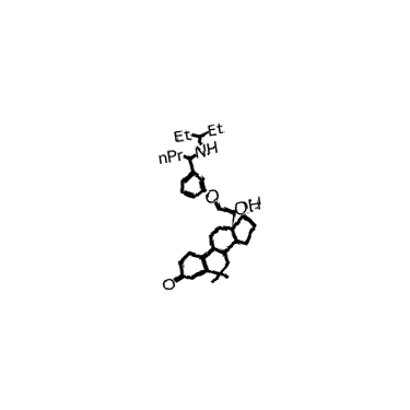 CCCC(NC(CC)CC)c1cccc(OCC[C@]23CCC4C5CCC(=O)C=C5C(C)(C)CC4C2CC[C@]3(C)O)c1